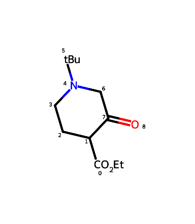 CCOC(=O)C1CCN(C(C)(C)C)CC1=O